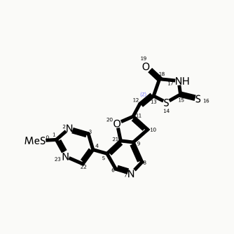 CSc1ncc(-c2cncc3cc(/C=C4\SC(=S)NC4=O)oc23)cn1